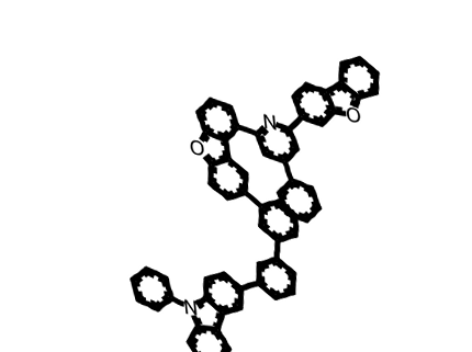 c1ccc(-c2cc(-c3ccc4c(c3)oc3ccccc34)nc(-c3cccc4oc5ccc(-c6cccc(-c7cccc(-c8ccc9c(c8)c8ccccc8n9-c8ccccc8)c7)c6)cc5c34)c2)cc1